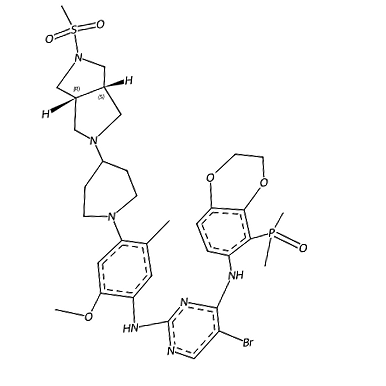 COc1cc(N2CCC(N3C[C@@H]4CN(S(C)(=O)=O)C[C@@H]4C3)CC2)c(C)cc1Nc1ncc(Br)c(Nc2ccc3c(c2P(C)(C)=O)OCCO3)n1